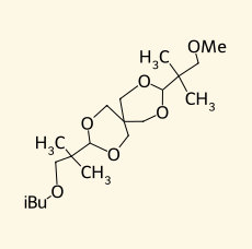 CCC(C)OCC(C)(C)C1OCC2(COC(C(C)(C)COC)OC2)CO1